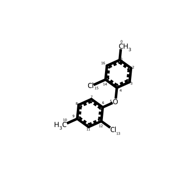 Cc1ccc(Oc2ccc(C)cc2Cl)c(Cl)c1